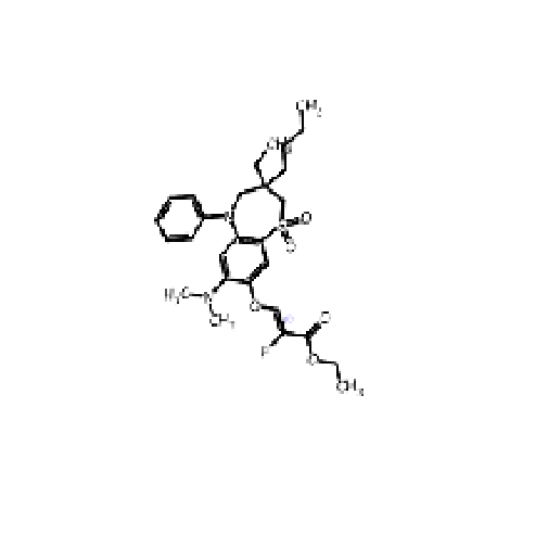 CCCCC1(CC)CN(c2ccccc2)c2cc(N(C)C)c(O/C=C(\F)C(=O)OCC)cc2S(=O)(=O)C1